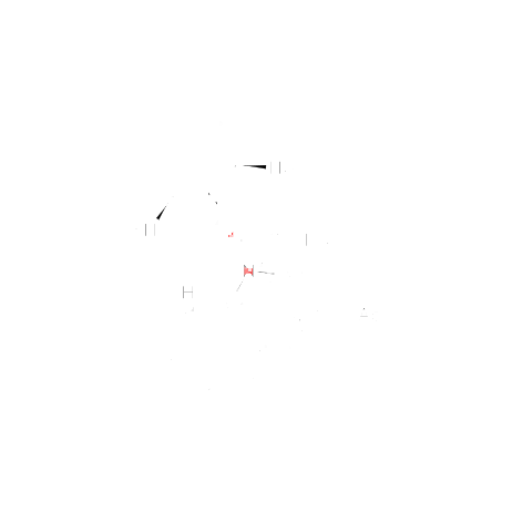 CC(=O)Cc1cn([C@H]2C[C@H]3CCC[C@@H](C2)N3[C@H]2C[C@@H]3CCC[C@@H](C3)C2)c2ccccc12